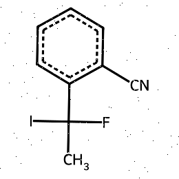 CC(F)(I)c1ccccc1C#N